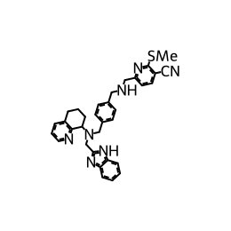 CSc1nc(CNCc2ccc(CN(Cc3nc4ccccc4[nH]3)C3CCCc4cccnc43)cc2)ccc1C#N